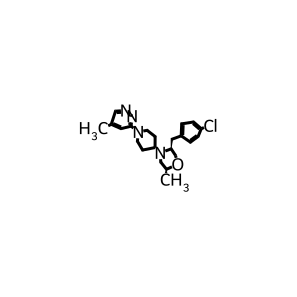 Cc1cnnc(N2CCC(N3C[C@H](C)OC[C@@H]3Cc3ccc(Cl)cc3)CC2)c1